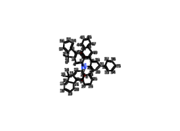 CC1(C)c2cc(N(c3ccc4c(c3)C(C)(C)c3ccccc3-4)c3c(C4=CC=CCC4)cc(-c4ccccc4)cc3-c3ccc4ccccc4c3)c#cc2-c2ccccc21